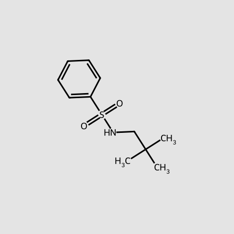 CC(C)(C)CNS(=O)(=O)c1ccccc1